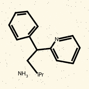 CC(C)CC(c1ccccc1)c1ccccn1.N